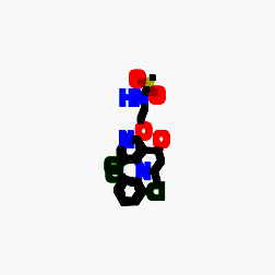 CC1CC(=O)c2c(OCCNS(C)(=O)=O)ncc(Cl)c2N1c1c(Cl)cccc1Cl